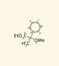 CCOC(=O)C(C)(OC)c1ccccc1